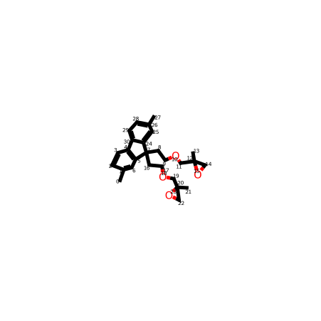 Cc1ccc2c(c1)C(CCOCC1(C)CO1)(CCOCC1(C)CO1)c1cc(C)ccc1-2